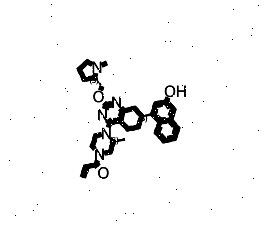 C=CC(=O)N1CCN(c2nc(OC[C@@H]3CCCN3C)nc3c2CC[C@H](c2cc(O)cc4ccccc24)C3)[C@@H](C)C1